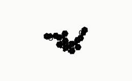 Cc1cc2c3c(c1)N(c1c(C)cccc1C)c1cc(N(c4ccccc4)c4ccc5cc(-c6cc7ccccc7o6)ccc5c4)ccc1B3c1ccc(N(c3ccccc3)c3ccc4cc(-c5cc6ccccc6o5)ccc4c3)cc1N2c1c(C)cccc1C